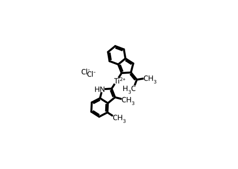 CC(C)=C1C=c2ccccc2=[C]1[Ti+2][c]1[nH]c2cccc(C)c2c1C.[Cl-].[Cl-]